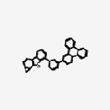 C1=CC2CC2c2sc3c(-c4cccc(-c5ccc6c7ccccc7c7ccccc7c6c5)c4)cccc3c21